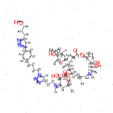 CC[C@H]1OC(=O)[C@H](C)C([C@H]2C[C@@](C)(OC)[C@@H](O)[C@H](C)O2)[C@H](C)[C@@H](O[C@@H]2O[C@H](C)C[C@H](N(C)CCc3cn(CCCCc4ccc(-n5cc(CCCO)nn5)cc4)nn3)[C@H]2O)[C@](C)(O)C[C@@H](C)CN(C)[C@H](C)[C@@H](O)[C@]1(C)O